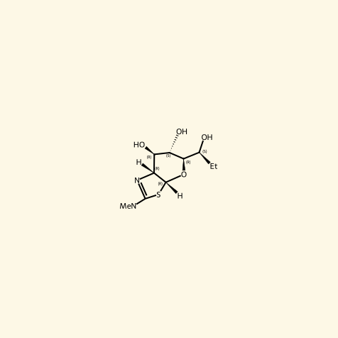 CC[C@H](O)[C@H]1O[C@@H]2SC(NC)=N[C@@H]2[C@@H](O)[C@@H]1O